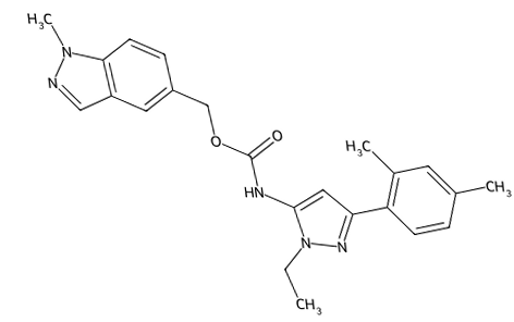 CCn1nc(-c2ccc(C)cc2C)cc1NC(=O)OCc1ccc2c(cnn2C)c1